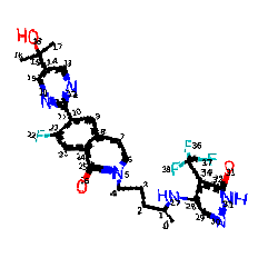 C[C@@H](CCCn1ccc2cc(-c3ncc(C(C)(C)O)cn3)c(F)cc2c1=O)Nc1cn[nH]c(=O)c1C(F)(F)F